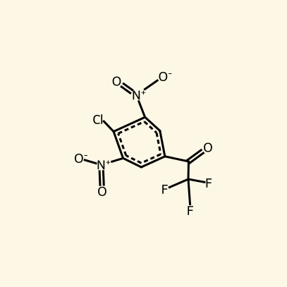 O=C(c1cc([N+](=O)[O-])c(Cl)c([N+](=O)[O-])c1)C(F)(F)F